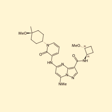 CNc1cc(Nc2cccn([C@H]3CC[C@](C)(OC)CC3)c2=O)nc2c(C(=O)N[C@@H]3CC[C@H]3OC)cnn12